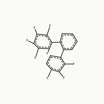 Fc1ccc(-c2ccccc2-c2c(F)c(F)c(F)c(F)c2F)c(F)c1F